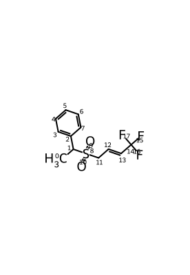 CC(c1ccccc1)S(=O)(=O)CC=CC(F)(F)F